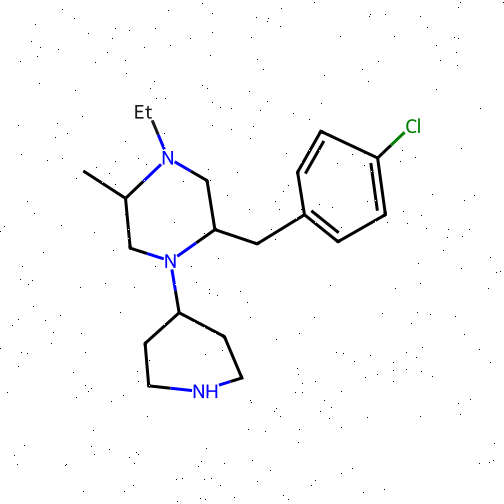 CCN1CC(Cc2ccc(Cl)cc2)N(C2CCNCC2)CC1C